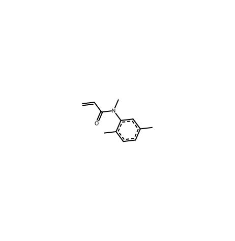 C=CC(=O)N(C)c1cc(C)ccc1C